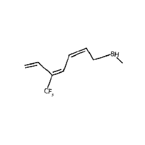 C=C/C(=C\C=C/CBC)C(F)(F)F